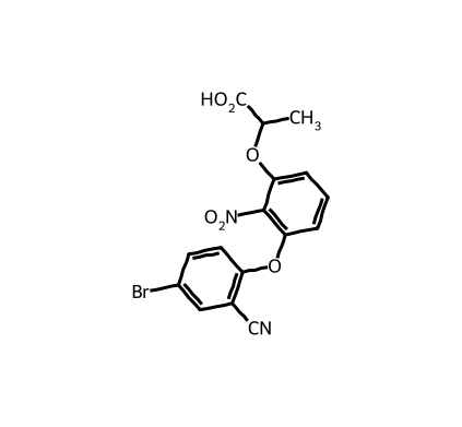 CC(Oc1cccc(Oc2ccc(Br)cc2C#N)c1[N+](=O)[O-])C(=O)O